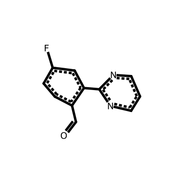 O=Cc1ccc(F)cc1-c1ncccn1